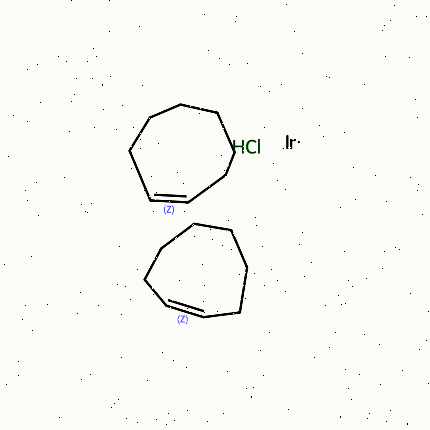 C1=C\CCCCCC/1.C1=C\CCCCCC/1.Cl.[Ir]